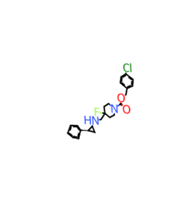 O=C(OCc1ccc(Cl)cc1)N1CCC(F)(CN[C@@H]2C[C@H]2c2ccccc2)CC1